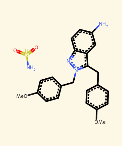 COc1ccc(Cc2c3cc(N)ccc3nn2Cc2ccc(OC)cc2)cc1.N[SH](=O)=O